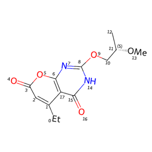 CCc1cc(=O)oc2nc(OC[C@H](C)OC)[nH]c(=O)c12